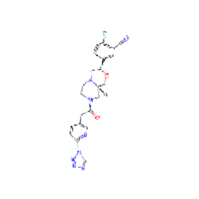 N#Cc1cc([C@@H]2CN3CCN(C(=O)Cc4ccc(-n5cnnn5)nc4)C[C@H]3CO2)ccc1F